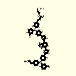 COCCOC(=O)CCc1ccc(N(c2ccc(-c3ccc(-c4ccc(-c5ccc(-c6ccc(N(c7ccc(CCC(C)=O)cc7)c7cccc(C)c7)cc6)s5)c5nsnc45)s3)cc2)c2cccc(C)c2)cc1